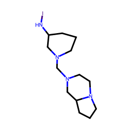 INC1CCCN(CN2CCN3CCCC3C2)C1